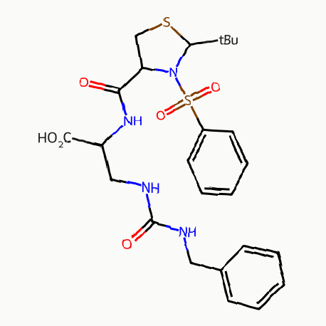 CC(C)(C)C1SCC(C(=O)NC(CNC(=O)NCc2ccccc2)C(=O)O)N1S(=O)(=O)c1ccccc1